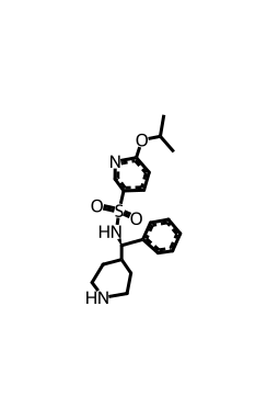 CC(C)Oc1ccc(S(=O)(=O)N[C@@H](c2ccccc2)C2CCNCC2)cn1